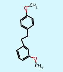 COc1ccc([CH]Cc2cccc(OC)c2)cc1